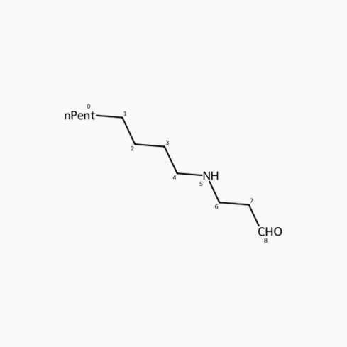 CCCCCCCCCNCCC=O